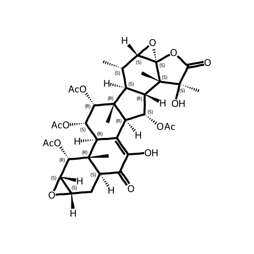 CC(=O)O[C@H]1[C@@H]2[C@H]([C@H](C)[C@@H]3O[C@@]34OC(=O)[C@@](C)(O)[C@]24C)[C@]2(C)[C@@H]1C1=C(O)C(=O)[C@H]3C[C@@H]4O[C@@H]4[C@H](OC(C)=O)[C@]3(C)[C@H]1[C@H](OC(C)=O)[C@@H]2OC(C)=O